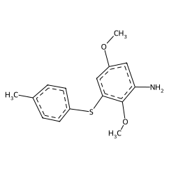 COc1cc(N)c(OC)c(Sc2ccc(C)cc2)c1